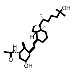 C=C1/C(=C\C=C2/CCC[C@]3(C)[C@@H]([C@H](C)CCCC(C)(C)O)CC[C@@H]23)C[C@@H](O)C[C@@H]1NC(C)=O